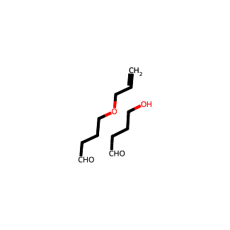 C=CCOCCCC=O.O=CCCCO